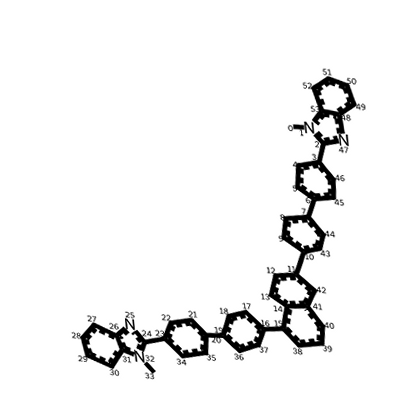 Cn1c(-c2ccc(-c3ccc(-c4ccc5c(-c6ccc(-c7ccc(-c8nc9ccccc9n8C)cc7)cc6)cccc5c4)cc3)cc2)nc2ccccc21